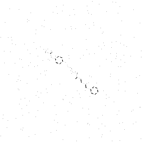 O=C(C=CC=Cc1ccccc1)NCCCOc1ccc(CC(=O)NO)cc1